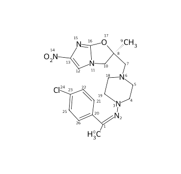 CC(=NN1CCN(C[C@@]2(C)Cn3cc([N+](=O)[O-])nc3O2)CC1)c1ccc(Cl)cc1